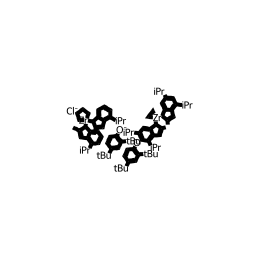 CC(C)(C)c1ccc([O-])c(C(C)(C)C)c1.CC(C)(C)c1ccc([O-])c(C(C)(C)C)c1.CC1=Cc2c(C(C)C)cc(C(C)C)cc2[CH]1[Zr]1([CH]2C(C)=Cc3c(C(C)C)cc(C(C)C)cc32)[CH2][CH2]1.CC1=Cc2c(C(C)C)cccc2[CH]1[Zr]1([CH]2C(C)=Cc3c(C(C)C)cccc32)[CH2]CC[CH2]1.[Cl-]